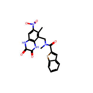 Cc1c([N+](=O)[O-])cc2[nH]c(=O)c(=O)[nH]c2c1CN(C)C(=O)c1cc2ccccc2s1